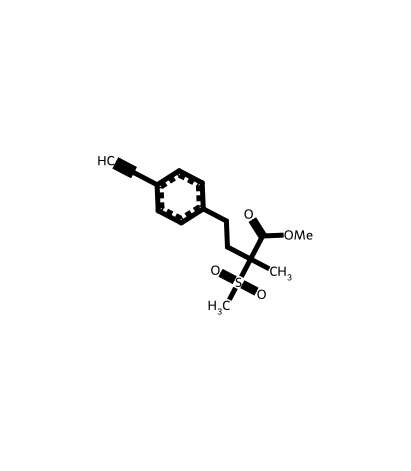 C#Cc1ccc(CCC(C)(C(=O)OC)S(C)(=O)=O)cc1